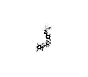 CCCNc1ncc(-c2ccc(Oc3ncc(NC(=O)Nc4cc(F)cc(F)c4)cn3)cc2)s1